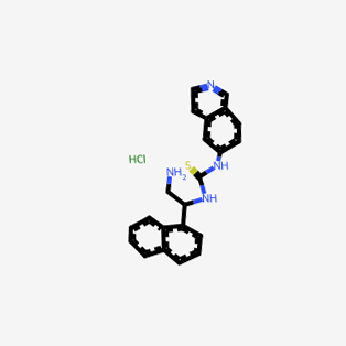 Cl.NCC(NC(=S)Nc1ccc2cnccc2c1)c1cccc2ccccc12